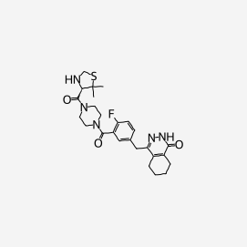 CC1(C)SCN[C@@H]1C(=O)N1CCN(C(=O)c2cc(Cc3n[nH]c(=O)c4c3CCCC4)ccc2F)CC1